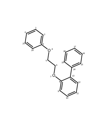 c1ccc(OCCOc2ccccc2-c2ccccc2)cc1